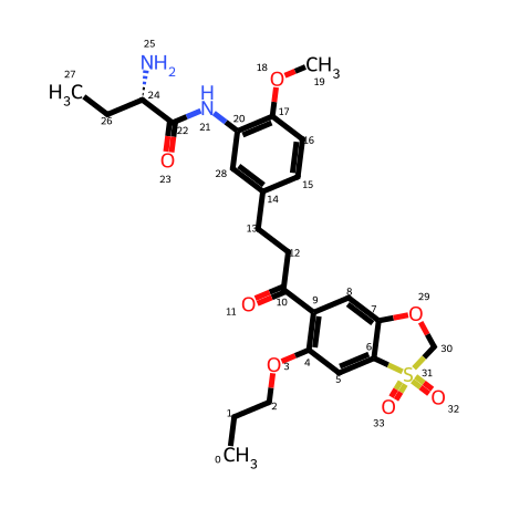 CCCOc1cc2c(cc1C(=O)CCc1ccc(OC)c(NC(=O)[C@@H](N)CC)c1)OCS2(=O)=O